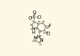 O=S(=O)(Cl)c1c[nH]c2c(-n3nccn3)c(Cl)c(F)cc12